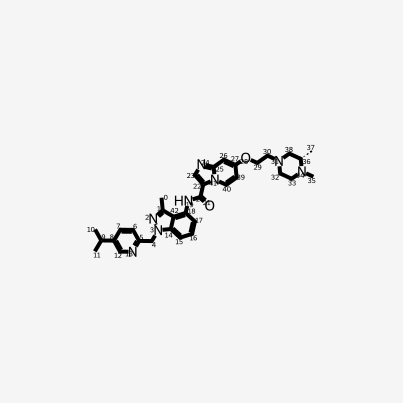 Cc1nn(Cc2ccc(C(C)C)cn2)c2cccc(NC(=O)c3cnc4cc(OCCN5CCN(C)[C@@H](C)C5)ccn34)c12